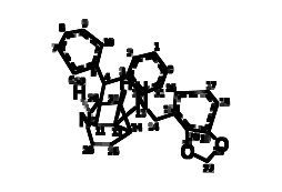 c1ccc(C(c2ccccc2)[C@H]2[C@H](NCc3cccc4c3OCO4)C3CCN2CC3)cc1